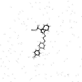 COC(=O)c1cn(CCCN2CCN(c3ccc(Cl)cc3)CC2)c2ccccc12